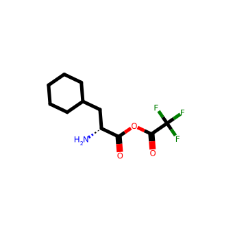 N[C@H](CC1CCCCC1)C(=O)OC(=O)C(F)(F)F